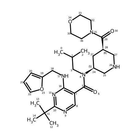 CC(C)CN(C(=O)c1cnc(C(C)(C)C)nc1NCc1ccco1)[C@@H]1CNC[C@H](C(=O)N2CCOCC2)C1